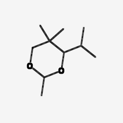 CC1OCC(C)(C)C(C(C)C)O1